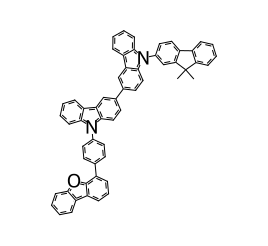 CC1(C)c2ccccc2-c2ccc(-n3c4ccccc4c4cc(-c5ccc6c(c5)c5ccccc5n6-c5ccc(-c6cccc7c6oc6ccccc67)cc5)ccc43)cc21